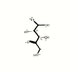 [2H]C(O)[C@@H](O)[C@H](O)C(=O)CO